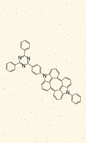 c1ccc(-c2nc(-c3ccccc3)nc(-c3ccc(-n4c5cccc6c7cccc8c7c7c(cccc7n8-c7ccccc7)c7cccc4c7c65)cc3)n2)cc1